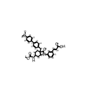 COC(=O)NC1CCC(Cc2ccc(-c3ccc(N(C)C)cc3)cc2)(C(=O)Nc2cccc(C=CC(=O)O)c2)CC1